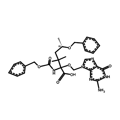 C[C@@H](CC(C)(C)C(NC(=O)OCc1ccccc1)(OCn1cnc2c(=O)[nH]c(N)nc21)C(=O)O)OCc1ccccc1